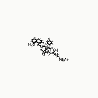 CNCCCNC[C@@H](O)CN1CN(c2ccc(F)cc2)C2(CCN(Cc3cccc4cccc(C)c34)CC2)C1=O